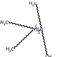 CCCCCCCCCCCCCCCCCCN(CCCCCCCCCCCCCCCCCC)C(=S)SSC(=S)N(CCCCCCCCCCCCCCCCCC)CCCCCCCCCCCCCCCCCC